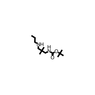 CCCNCC(C)(C)CNC(=O)OC(C)(C)C